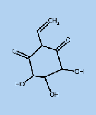 C=C[C]1C(=O)C(O)C(O)C(O)C1=O